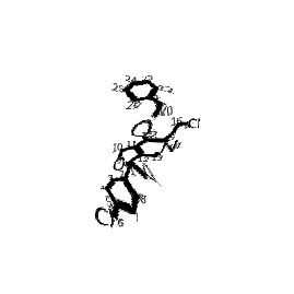 CC1(c2ccc(Cl)cc2)OCc2c1cnc(CCl)c2OCc1ccccc1